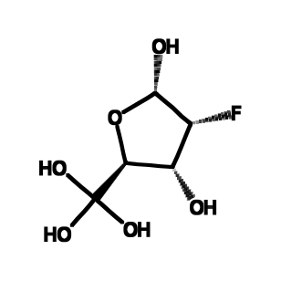 O[C@H]1[C@@H](F)[C@@H](O)O[C@@H]1C(O)(O)O